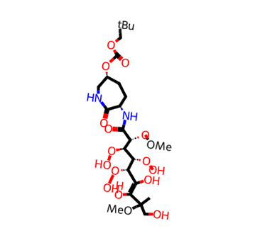 COO[C@@H](C(=O)N[C@H]1CC[C@@H](OC(=O)OCC(C)(C)C)CNC1=O)[C@H](OO)[C@H](OO)[C@@H](OO)/C(O)=C(\O)C(C)(CO)OC